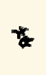 CC12CCC(CC1=O)C2(C)C.O=C(O)C(F)(F)F